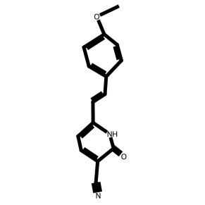 COc1ccc(C=Cc2ccc(C#N)c(=O)[nH]2)cc1